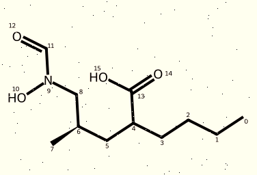 CCCCC(C[C@@H](C)CN(O)C=O)C(=O)O